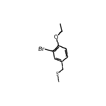 CCOc1ccc(CSC)cc1Br